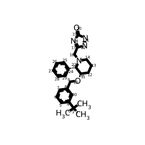 CC(C)(C)c1cccc(CO[C@H]2CCCN(CC3=NC(=O)N=N3)[C@H]2c2ccccc2)c1